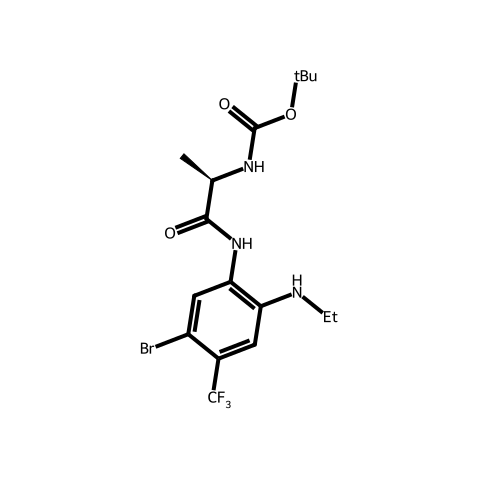 CCNc1cc(C(F)(F)F)c(Br)cc1NC(=O)[C@@H](C)NC(=O)OC(C)(C)C